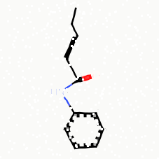 CCC=CC(=O)Nc1cc[c]cc1